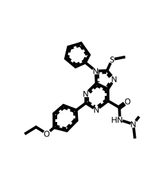 CCOc1ccc(-c2nc(C(=O)NN(C)C)c3nc(SC)n(-c4ccccc4)c3n2)cc1